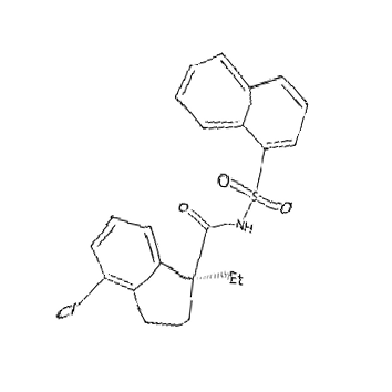 CC[C@]1(C(=O)NS(=O)(=O)c2cccc3ccccc23)CCc2c(Cl)cccc21